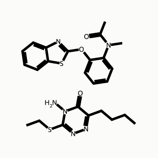 CC(=O)N(C)c1ccccc1Oc1nc2ccccc2s1.CCCCc1nnc(SCC)n(N)c1=O